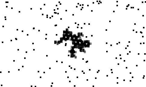 CCOc1ccc(C(=O)N2CCN(C3=C(C(=O)NCC4CN(C)C4)NC(OCC)(c4cccnc4)C=C3)[C@H](CC)C2)c(C(F)(F)F)n1